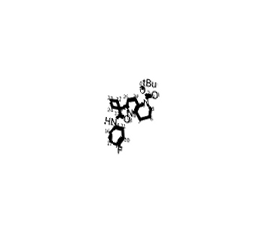 CC(C)(C)OC(=O)N1CCCc2nc(C3(C(=O)Nc4ccc(F)cc4)CCC3)ccc21